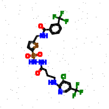 O=C(CCCNc1ncc(C(F)(F)F)cc1Cl)NNS(=O)(=O)c1ccc(CNC(=O)c2cccc(C(F)(F)F)c2)s1